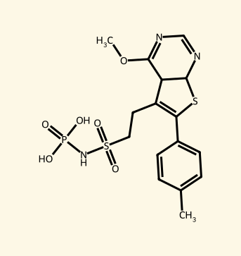 COC1=NC=NC2SC(c3ccc(C)cc3)=C(CCS(=O)(=O)NP(=O)(O)O)C12